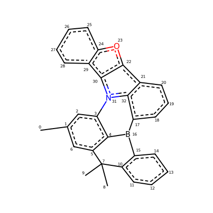 Cc1cc2c3c(c1)C(C)(C)c1ccccc1B3c1cccc3c4oc5ccccc5c4n-2c13